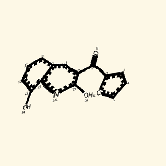 O=C(c1ccco1)c1cc2cccc(O)c2nc1O